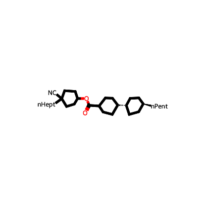 CCCCCCCC1(C#N)CCC(OC(=O)C2CCC([C@H]3CC[C@H](CCCCC)CC3)CC2)CC1